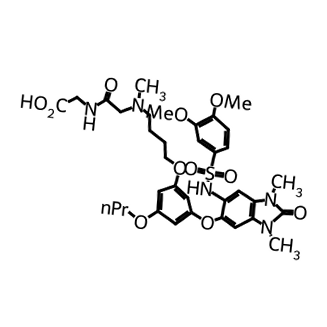 CCCOc1cc(OCCCCN(C)CC(=O)NCC(=O)O)cc(Oc2cc3c(cc2NS(=O)(=O)c2ccc(OC)c(OC)c2)n(C)c(=O)n3C)c1